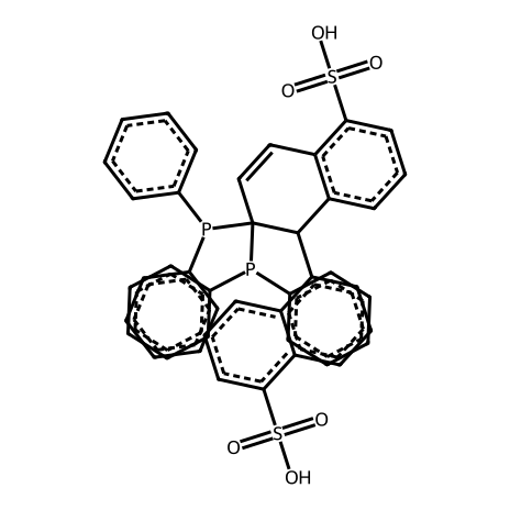 O=S(=O)(O)c1cccc2c1C=CC(P(c1ccccc1)c1ccccc1)(P(c1ccccc1)c1ccccc1)C2c1cccc2c(S(=O)(=O)O)cccc12